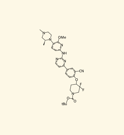 COc1nc(Nc2nccc(-c3ccc(OC4CCN(C(=O)OC(C)(C)C)CC4(F)F)c(C#N)c3)n2)ccc1N1CCN(C)C[C@@H]1C